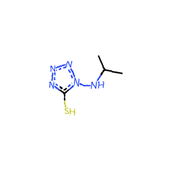 CC(C)Nn1nnnc1S